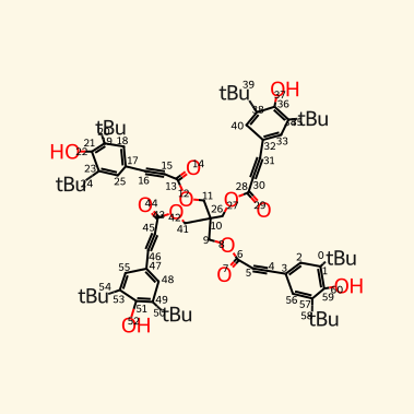 CC(C)(C)c1cc(C#CC(=O)OCC(COC(=O)C#Cc2cc(C(C)(C)C)c(O)c(C(C)(C)C)c2)(COC(=O)C#Cc2cc(C(C)(C)C)c(O)c(C(C)(C)C)c2)COC(=O)C#Cc2cc(C(C)(C)C)c(O)c(C(C)(C)C)c2)cc(C(C)(C)C)c1O